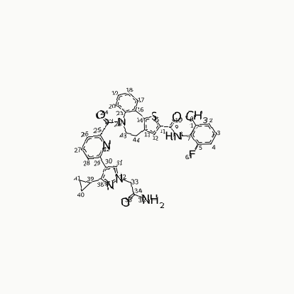 Cc1cccc(F)c1NC(=O)c1cc2c(s1)-c1ccccc1N(C(=O)c1cccc(-c3cn(CC(N)=O)nc3C3CC3)n1)CC2